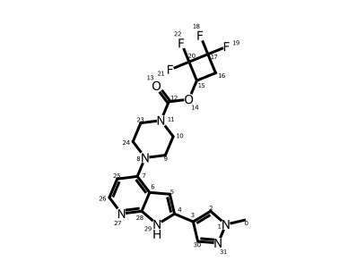 Cn1cc(-c2cc3c(N4CCN(C(=O)OC5CC(F)(F)C5(F)F)CC4)ccnc3[nH]2)cn1